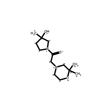 CC1(O)CCN(C(=O)CN2CCOC(C)(C)C2)C1